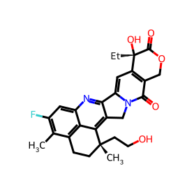 CC[C@@]1(O)C(=O)OCc2c1cc1n(c2=O)Cc2c-1nc1cc(F)c(C)c3c1c2[C@](C)(CCO)CC3